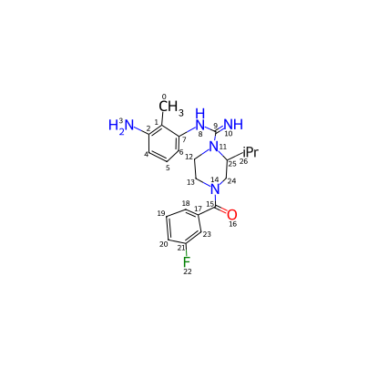 Cc1c(N)cccc1NC(=N)N1CCN(C(=O)c2cccc(F)c2)CC1C(C)C